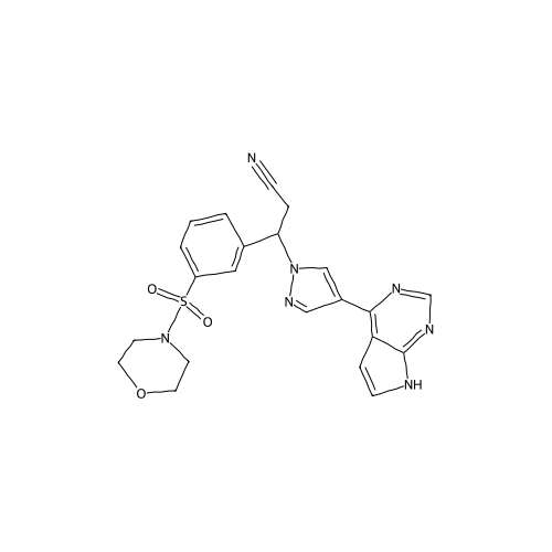 N#CCC(c1cccc(S(=O)(=O)N2CCOCC2)c1)n1cc(-c2ncnc3[nH]ccc23)cn1